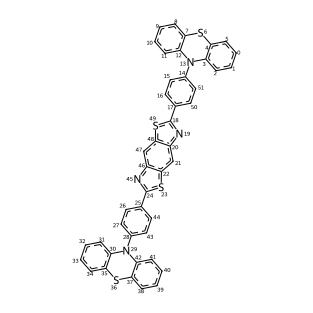 c1ccc2c(c1)Sc1ccccc1N2c1ccc(-c2nc3cc4sc(-c5ccc(N6c7ccccc7Sc7ccccc76)cc5)nc4cc3s2)cc1